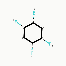 F[C@@H]1C[C@H](F)[C@H](F)C[C@@H]1F